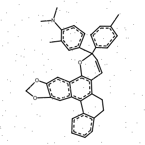 Cc1ccc(C2(c3ccc(N(C)C)c(C)c3)C=Cc3c4c(c5cc6c(cc5c3O2)OCO6)-c2ccccc2CC4)cc1